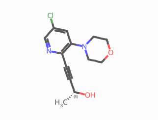 C[C@@H](O)C#Cc1ncc(Cl)cc1N1CCOCC1